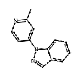 Cc1cc(-n2ncc3c[c]ccc32)ccn1